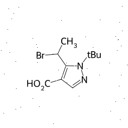 CC(Br)c1c(C(=O)O)cnn1C(C)(C)C